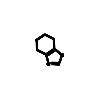 C1=[N+]C2=C(CCCC2)O1